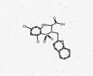 O=C(O)C1Nc2cc(Cl)cc(Cl)c2S(=O)(=O)N1Cc1ccc2ccccc2n1